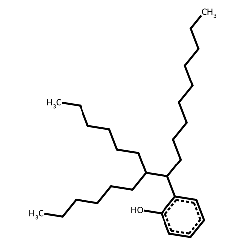 CCCCCCCCCC(c1ccccc1O)C(CCCCCC)CCCCCC